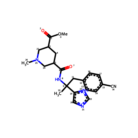 COC(=O)C1CC(C(=O)NC(C)(Cc2ccc(C#N)cc2)c2cnc[nH]2)CN(C)C1